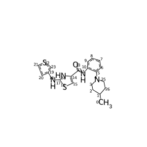 CC1CCN(c2ccccc2NC(=O)C2=CSC(Nc3ccsc3)N2)CC1